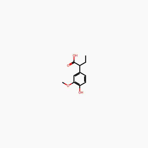 CCC(C(=O)O)c1ccc(O)c(OC)c1